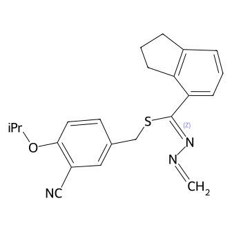 C=N/N=C(\SCc1ccc(OC(C)C)c(C#N)c1)c1cccc2c1CCC2